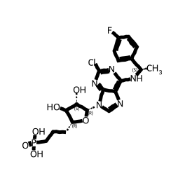 C[C@H](Nc1nc(Cl)nc2c1ncn2[C@@H]1O[C@H](CCCP(=O)(O)O)C(O)[C@@H]1O)c1ccc(F)cc1